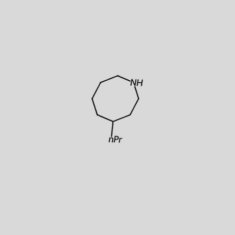 CCCC1CCCCNCC1